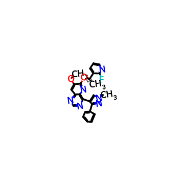 COc1cc2ncnc(-c3cn(C)nc3-c3ccccc3)c2nc1O[C@@H](C)c1cccnc1F